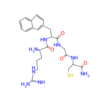 N=C(N)NCCC[C@@H](N)C(=O)NC(Cc1ccc2ccccc2c1)C(=O)NCC(=O)NC(CS)C(N)=O